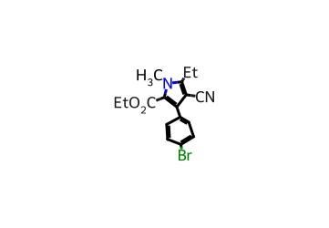 CCOC(=O)c1c(-c2ccc(Br)cc2)c(C#N)c(CC)n1C